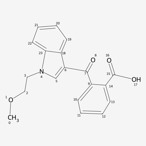 COCCn1cc(C(=O)c2ccccc2C(=O)O)c2ccccc21